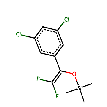 C[Si](C)(C)OC(=C(F)F)c1cc(Cl)cc(Cl)c1